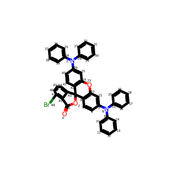 O=C1OC2(c3ccc(N(c4ccccc4)c4ccccc4)cc3Oc3cc(N(c4ccccc4)c4ccccc4)ccc32)c2cccc(Br)c21